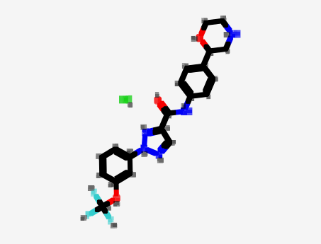 Cl.O=C(Nc1ccc(C2CNCCO2)cc1)c1cnn(-c2cccc(OC(F)(F)F)c2)n1